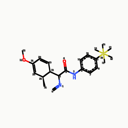 C=NC(C(=O)Nc1ccc(S(C)(C)(C)(C)C)cc1)C1C=CC(OC)=C[C@@H]1C